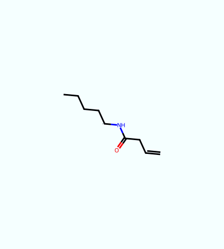 C=CCC(=O)N[CH]CCCC